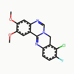 COc1cc2c(cc1OC)C1=Nc3ccc(F)c(Cl)c3CN1C=N2